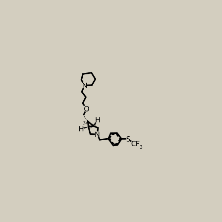 FC(F)(F)Sc1ccc(CN2C[C@@H]3[C@H](COCCCN4CCCCC4)[C@@H]3C2)cc1